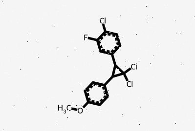 COc1ccc(C2C(c3ccc(Cl)c(F)c3)C2(Cl)Cl)cc1